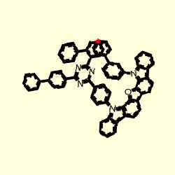 c1ccc(-c2ccc(-c3nc(-c4ccc(-n5c6ccccc6c6ccc7c8ccc9c%10ccccc%10n(-c%10cccc(-c%11ccccc%11)c%10)c9c8oc7c65)cc4)nc(-c4ccccc4-c4ccccc4)n3)cc2)cc1